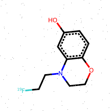 Oc1ccc2c(c1)N(CC[19F])CCO2